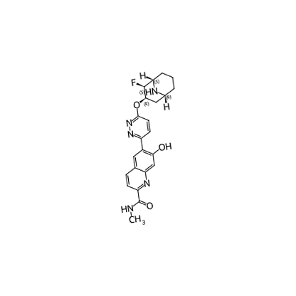 CNC(=O)c1ccc2cc(-c3ccc(O[C@@H]4C[C@H]5CCC[C@H](N5)[C@@H]4F)nn3)c(O)cc2n1